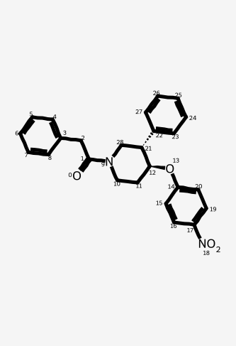 O=C(Cc1ccccc1)N1CC[C@H](Oc2ccc([N+](=O)[O-])cc2)[C@@H](c2ccccc2)C1